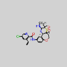 C=Cc1cc(Cl)cnc1C(=O)Nc1ccc2c(c1)[C@@]1(C)N=C(NC(=O)O)C(C)(C)S(=O)(=O)[C@@H]1CCO2